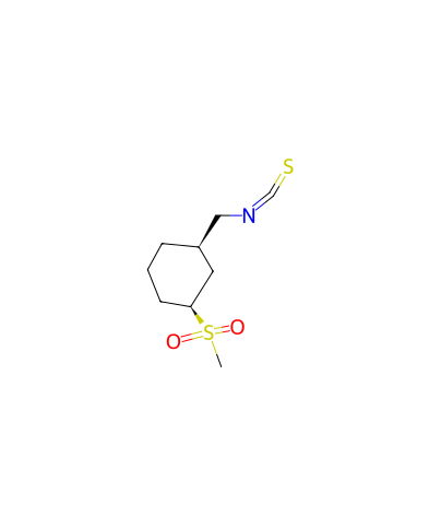 CS(=O)(=O)[C@H]1CCC[C@@H](CN=C=S)C1